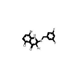 CC(=O)c1c(SCc2cc(F)cc(F)c2)[nH]c2c(Br)ccc(Cl)c2c1=O